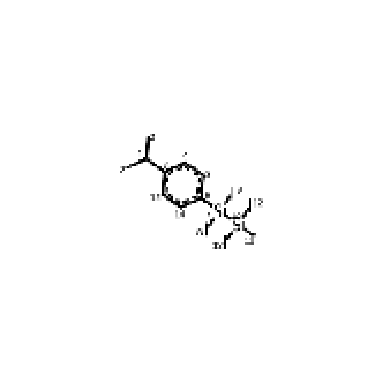 CC(C)c1ccc([Si](I)(I)[Si](I)(I)I)cc1